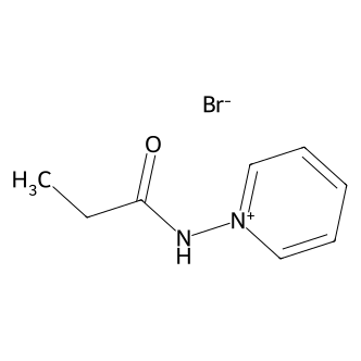 CCC(=O)N[n+]1ccccc1.[Br-]